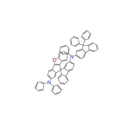 c1ccc(N(c2ccc3c(c2)C(c2ccccc2)(c2ccccc2)c2ccccc2-3)c2ccc3c(c2)C2(c4ccccc4-3)c3cc(N(c4ccccc4)c4ccccc4)ccc3-c3oc4ccccc4c32)cc1